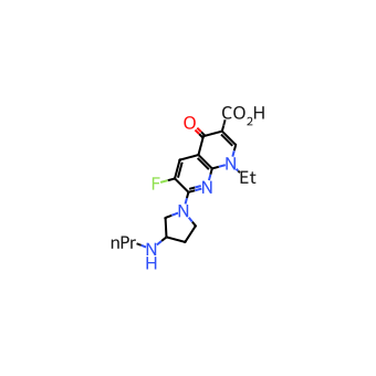 CCCNC1CCN(c2nc3c(cc2F)c(=O)c(C(=O)O)cn3CC)C1